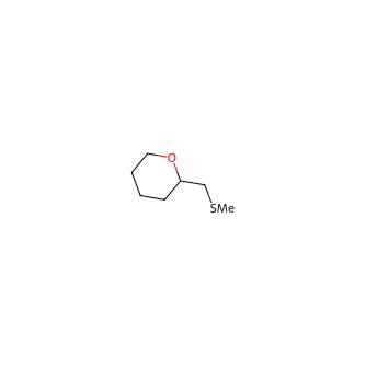 [CH2]SCC1CCCCO1